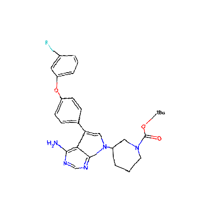 CC(C)(C)OC(=O)N1CCCC(n2cc(-c3ccc(Oc4cccc(F)c4)cc3)c3c(N)ncnc32)C1